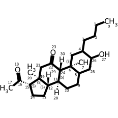 CCCCC1C[C@@]2(C)C(CC[C@H]3[C@@H]4CC[C@H](C(C)=O)[C@@]4(C)CC(=O)[C@@H]32)CC1O